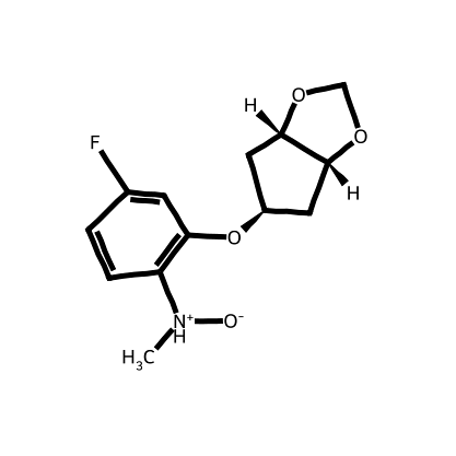 C[NH+]([O-])c1ccc(F)cc1O[C@H]1C[C@@H]2OCO[C@@H]2C1